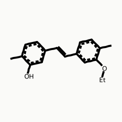 CCOc1cc(/C=C/c2ccc(C)c(O)c2)ccc1C